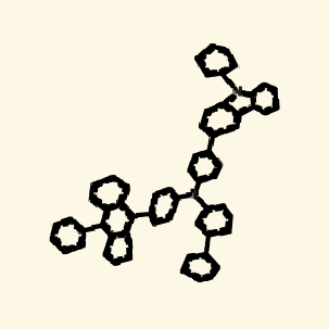 c1ccc(-c2cccc(N(c3ccc(-c4ccc5c(c4)c4ccccc4n5-c4ccccc4)cc3)c3ccc(-c4c5ccccc5c(-c5ccccc5)c5ccccc45)cc3)c2)cc1